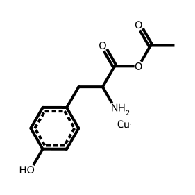 CC(=O)OC(=O)C(N)Cc1ccc(O)cc1.[Cu]